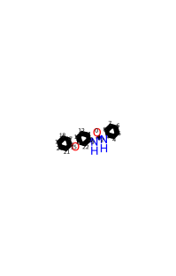 O=C(Nc1ccccc1)Nc1cccc(Oc2ccccc2)c1